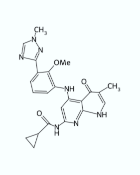 COc1c(Nc2cc(NC(=O)C3CC3)nc3[nH]cc(C)c(=O)c23)cccc1-c1ncn(C)n1